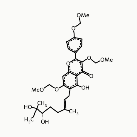 COCOc1ccc(-c2oc3cc(OCOC)c(C/C=C(\C)CC[C@H](O)C(C)(C)O)c(O)c3c(=O)c2OCOC)cc1